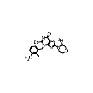 [2H]C1COCCN1c1nc2c(s1)c(=O)nc(CC)n2Cc1cccc(C(F)(F)F)c1C